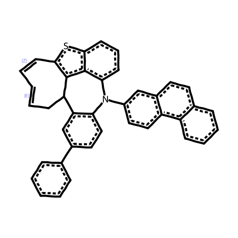 C1=C\c2sc3cccc4c3c2C(C/C=C/1)c1cc(-c2ccccc2)ccc1N4c1ccc2c(ccc3ccccc32)c1